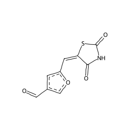 O=Cc1coc(C=C2SC(=O)NC2=O)c1